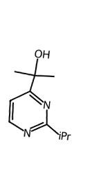 CC(C)c1nccc(C(C)(C)O)n1